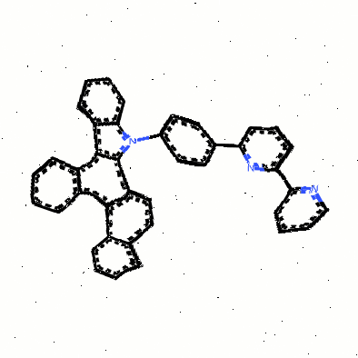 c1ccc(-c2cccc(-c3ccc(-n4c5ccccc5c5c6ccccc6c6c7ccccc7ccc6c54)cc3)n2)nc1